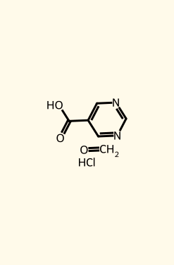 C=O.Cl.O=C(O)c1cncnc1